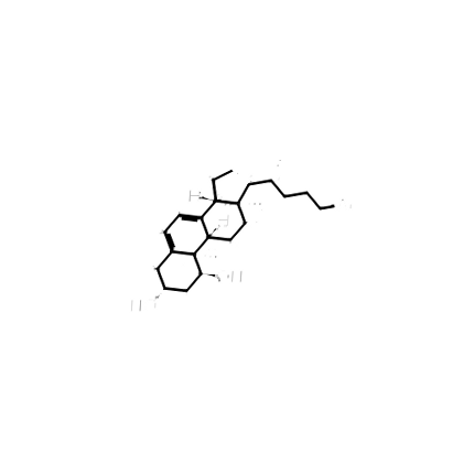 CC(=O)CCC[C@@H](C)[C@H]1CC[C@H]2C3=CC=C4C[C@@H](O)C[C@H](O)[C@]4(C)[C@H]3CC[C@]12C